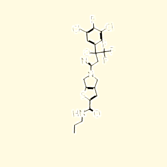 CCCNC(=O)c1cc2c(s1)CN(C1=NOC(c3cc(Cl)c(F)c(Cl)c3)(C(F)(F)F)C1)C2